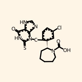 O=C(O)N1CCCCC[C@@H]1c1cc(Cl)ccc1Cn1c(=S)[nH]c(=O)c2[nH]cnc21